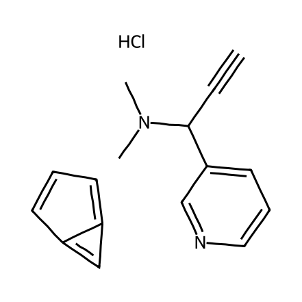 C#CC(c1cccnc1)N(C)C.Cl.c1cc2cc-2c1